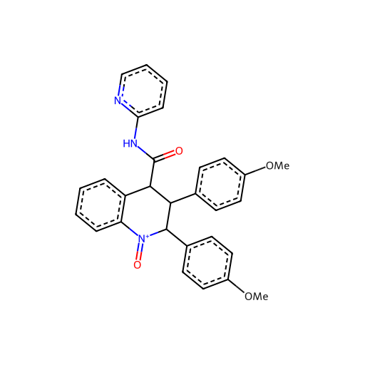 COc1ccc(C2C(C(=O)Nc3ccccn3)c3ccccc3[N+](=O)C2c2ccc(OC)cc2)cc1